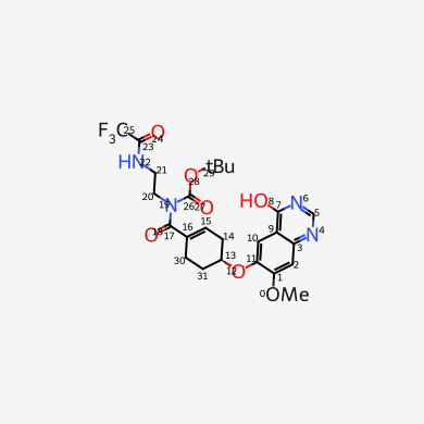 COc1cc2ncnc(O)c2cc1O[C@@H]1CC=C(C(=O)N(CCNC(=O)C(F)(F)F)C(=O)OC(C)(C)C)CC1